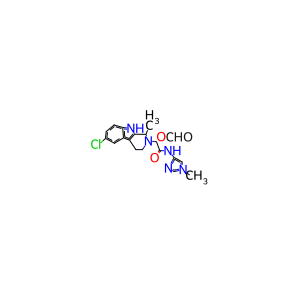 CC1c2[nH]c3ccc(Cl)cc3c2CCN1C(OC=O)C(=O)Nc1cn(C)cn1